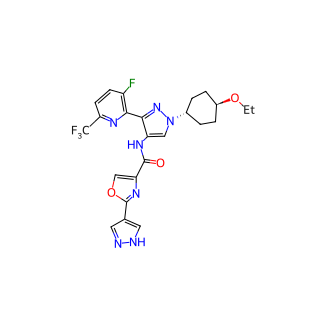 CCO[C@H]1CC[C@H](n2cc(NC(=O)c3coc(-c4cn[nH]c4)n3)c(-c3nc(C(F)(F)F)ccc3F)n2)CC1